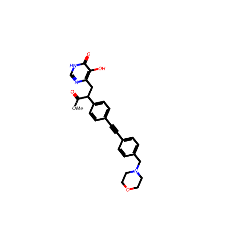 COC(=O)C(Cc1nc[nH]c(=O)c1O)c1ccc(C#Cc2ccc(CN3CCOCC3)cc2)cc1